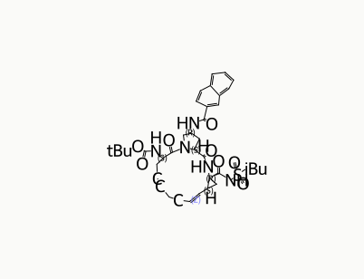 CCC(C)S(=O)(=O)NC(=O)[C@@]12C[C@H]1/C=C\CCCCC[C@H](NC(=O)OC(C)(C)C)C(=O)N1C[C@H](NC(=O)c3ccc4ccccc4c3)C[C@H]1C(=O)N2